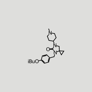 CC(C)COc1ccc(CN2C(=O)N(C3CCN(C)CC3)CC23CC3)cc1